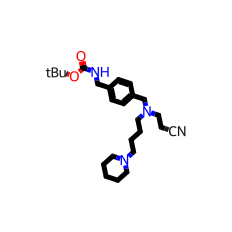 CC(C)(C)OC(=O)NCc1ccc(CN(CCC#N)CCCCN2CCCCC2)cc1